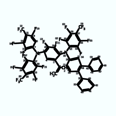 C=C(C)c1cc(N(c2cc(F)c(C(F)(F)F)c(F)c2F)c2c(F)c(F)c(C(F)(F)F)c(F)c2F)c(F)c(F)c1N(c1ccc(-c2ccccc2)c(-c2ccccc2)c1)c1c(F)c(F)c(C(F)(F)F)c(F)c1F